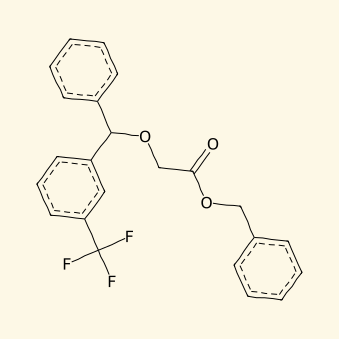 O=C(COC(c1ccccc1)c1cccc(C(F)(F)F)c1)OCc1ccccc1